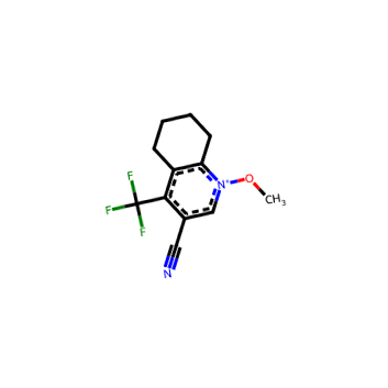 CO[n+]1cc(C#N)c(C(F)(F)F)c2c1CCCC2